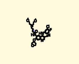 COCCN(C/C=C/C(=O)Nc1cc2c(Nc3ccc(F)c(Cl)c3)c(C#N)cnc2cc1OC1CCOC1)CCOC